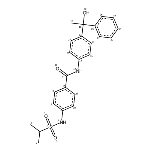 CC(C)S(=O)(=O)Nc1ccc(C(=O)Nc2ccc(C(C)(O)c3ccccc3)cc2)cc1